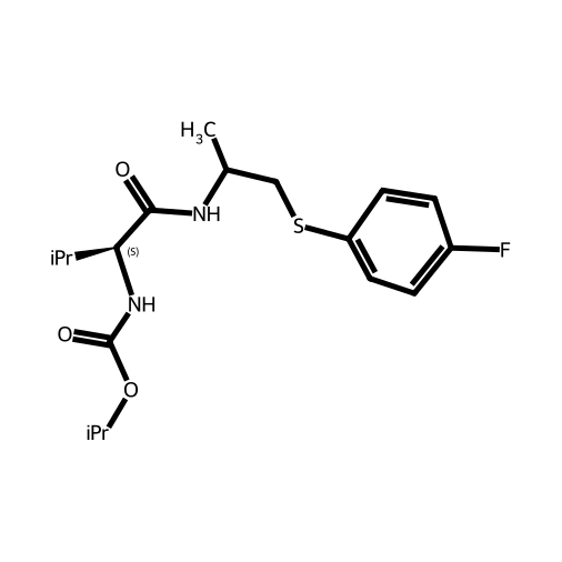 CC(CSc1ccc(F)cc1)NC(=O)[C@@H](NC(=O)OC(C)C)C(C)C